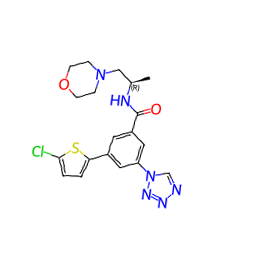 C[C@H](CN1CCOCC1)NC(=O)c1cc(-c2ccc(Cl)s2)cc(-n2cnnn2)c1